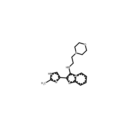 Cc1nc(-c2nc3ccccn3c2NCCN2CCOCC2)c[nH]1